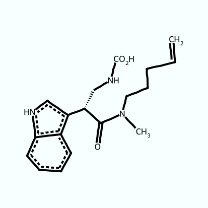 C=CCCCN(C)C(=O)[C@@H](CNC(=O)O)c1c[nH]c2ccccc12